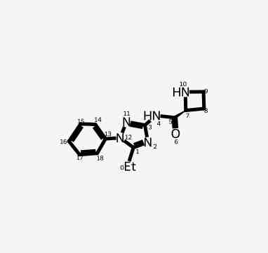 CCc1nc(NC(=O)[C@@H]2CCN2)nn1-c1ccccc1